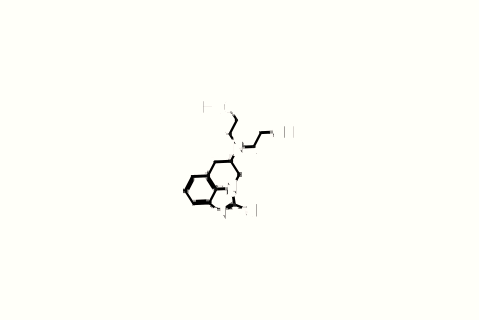 CCCN(CCC)C1Cc2cccc3nc(Cl)n(c23)C1